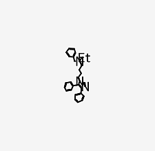 CCN(CCCCn1cnc(-c2ccccc2)c1-c1ccccc1)Cc1ccccc1